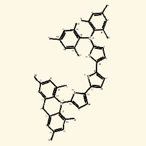 Cc1cc(C)c(B(c2ccc(-c3ccc(-c4ccc(B5c6c(C)cc(C)cc6Cc6cc(C)cc(C)c65)s4)s3)s2)c2c(C)cc(C)cc2C)c(C)c1